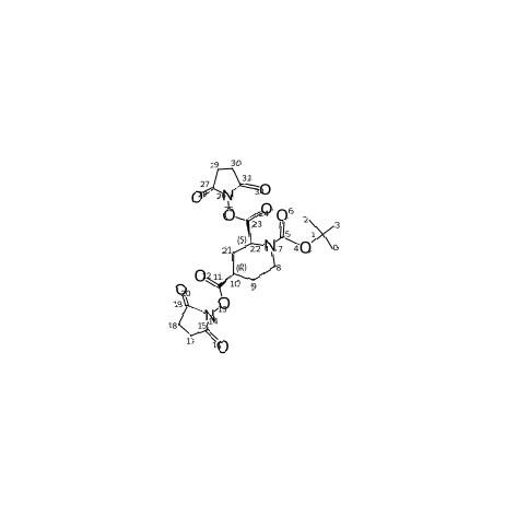 CC(C)(C)OC(=O)N1CC[C@@H](C(=O)ON2C(=O)CCC2=O)C[C@H]1C(=O)ON1C(=O)CCC1=O